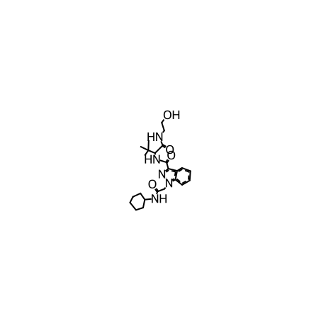 CC(C)(C)C(NC(=O)c1nn(CC(=O)NC2CCCCC2)c2ccccc12)C(=O)NCCO